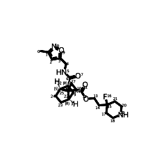 Cc1cc(CNC(=O)[C@H]2[C@H](C(=O)OCCC3(F)CCNCC3)[C@H]3CC[C@@H]2C32CC2)on1